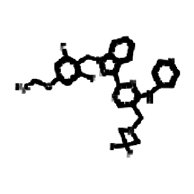 CCOc1cc(F)c(Cn2nc(-c3ncc(CN4CC(F)(F)C4)c(Nc4ccncc4)n3)c3ccccc32)c(F)c1